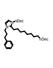 CCCCCCCCCCCCCCCCCCc1n(CCCCCCCCCC)cc[n+]1CCCc1ccccc1